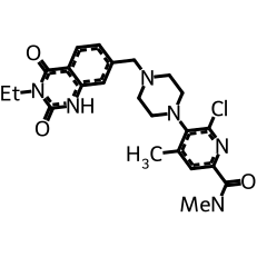 CCn1c(=O)[nH]c2cc(CN3CCN(c4c(C)cc(C(=O)NC)nc4Cl)CC3)ccc2c1=O